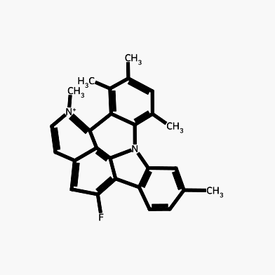 Cc1ccc2c3c(F)cc4cc[n+](C)c5c6c(C)c(C)cc(C)c6n(c2c1)c3c45